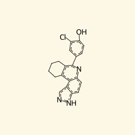 Oc1ccc(-c2nc3ccc4[nH]ncc4c3c3c2CCCC3)cc1Cl